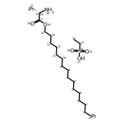 CC(C)CCCCCCCCCCCCCCCOC(=O)[C@@H](N)C(C)C.CCS(=O)(=O)O